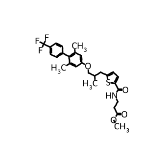 COC(=O)CCNC(=O)c1ccc(CC(C)COc2cc(C)c(-c3ccc(C(F)(F)F)cc3)c(C)c2)s1